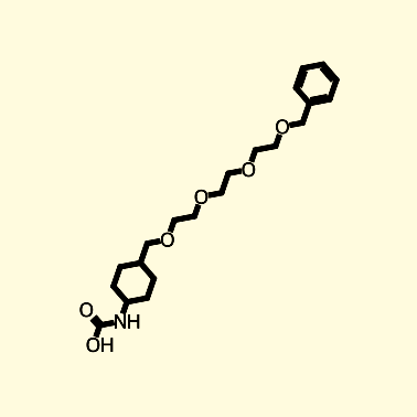 O=C(O)NC1CCC(COCCOCCOCCOCc2ccccc2)CC1